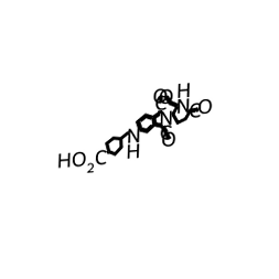 O=C=C1CCC(n2c(=C=O)c3ccc(NCC4CCC(C(=O)O)CC4)cc3c2=C=O)C(=C=O)N1